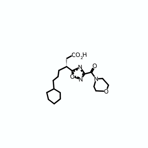 O=C(O)C[C@@H](CCCC1CCCCC1)c1nc(C(=O)N2CCOCC2)no1